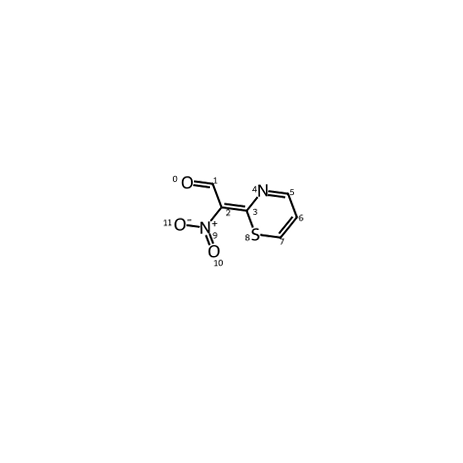 O=CC(=C1N=CC=CS1)[N+](=O)[O-]